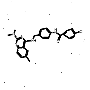 Cc1ccc2nc(N(C)C)nc(NCc3ccc(NC(=O)c4ccc(Cl)cc4)cc3)c2c1